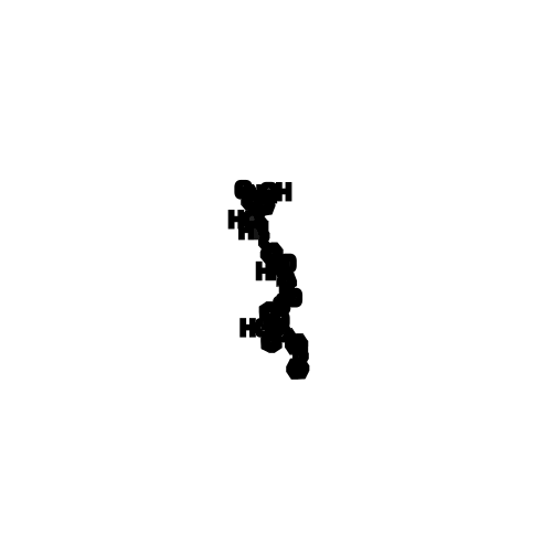 O=C(N[C@H]1CCN(C(=O)COc2cccc([C@](O)(C(=O)OCC3CCN(Cc4ccccc4)CC3)c3ccccc3)c2)C1)c1ccc(CCNC[C@H](O)c2ccc(O)c3[nH]c(=O)ccc23)cc1